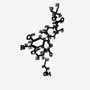 C[C@H]1CN(c2nc(=O)n3c4c(c(Br)c(Cl)cc24)OC[C@H]3CCCO)[C@@H](C)CN1C(=O)OC(C)(C)C